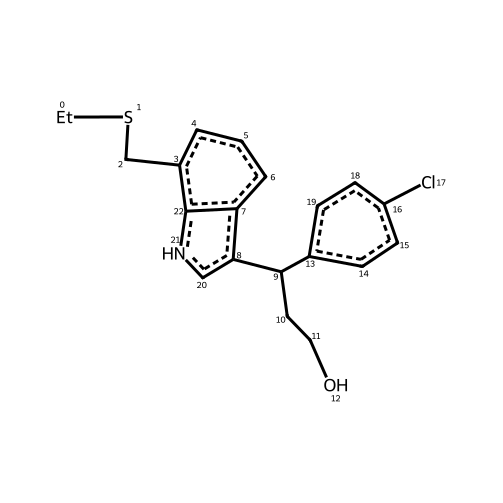 CCSCc1cccc2c(C(CCO)c3ccc(Cl)cc3)c[nH]c12